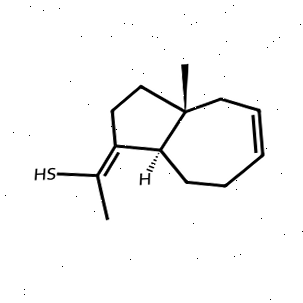 C/C(S)=C1/CC[C@]2(C)CC=CCC[C@@H]12